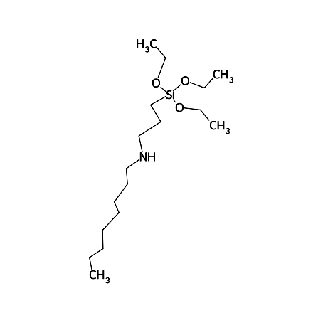 CCCCCCCCNCCC[Si](OCC)(OCC)OCC